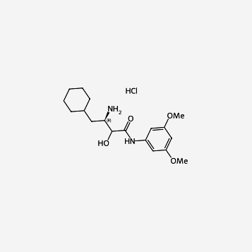 COc1cc(NC(=O)C(O)[C@H](N)CC2CCCCC2)cc(OC)c1.Cl